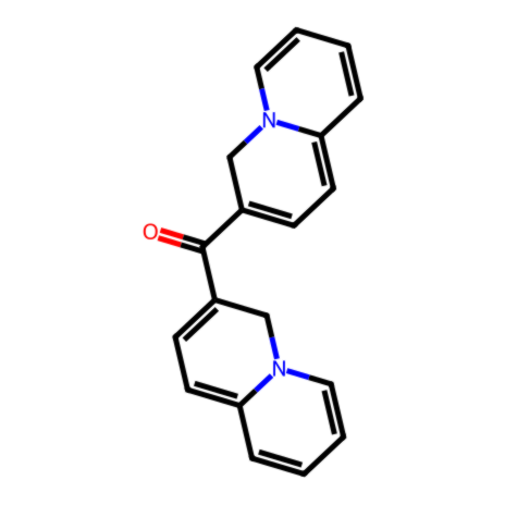 O=C(C1=CC=C2C=CC=CN2C1)C1=CC=C2C=CC=CN2C1